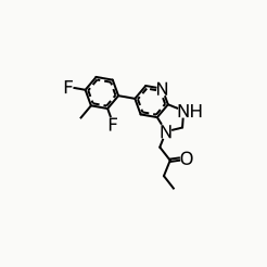 CCC(=O)CN1CNc2ncc(-c3ccc(F)c(C)c3F)cc21